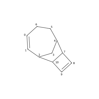 C1=CC2CC(CC1)C1C=CC21